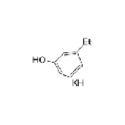 CCc1cccc(O)c1.[KH]